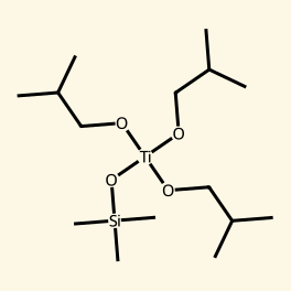 CC(C)C[O][Ti]([O]CC(C)C)([O]CC(C)C)[O][Si](C)(C)C